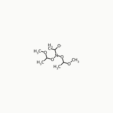 COC(C)ON(OC(C)OC)C(C)[O]